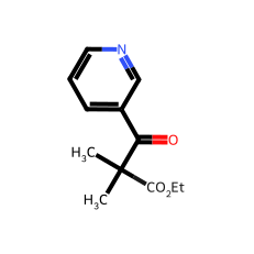 CCOC(=O)C(C)(C)C(=O)c1cccnc1